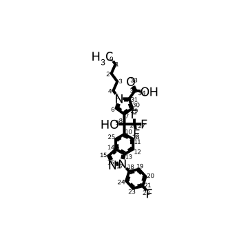 CCCCCn1cc(C(O)(c2ccc3c(cnn3-c3ccc(F)cc3)c2)C(F)(F)F)cc1C(=O)O